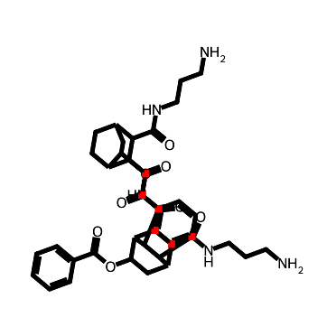 NCCCNC(=O)C1C2CCC(C(OC(=O)c3ccccc3)C2)C1C(=O)NC(=O)C1C2CCC(CC2OC(=O)c2ccccc2)C1C(=O)NCCCN